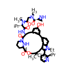 CCn1c(-c2cccnc2C(C)C)c2c3cc(ccc31)-c1cc(O)cc(c1)C[C@H](NC(=O)[C@H](C(C)C)N(C)C(=O)CN(C)C(=O)[C@H]1CN1)C(=O)N1CCC[C@H](N1)C(=O)OCC(C)(C)C2